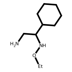 CCONC(CN)C1CCCCC1